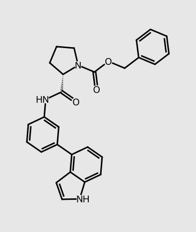 O=C(Nc1cccc(-c2cccc3[nH]ccc23)c1)[C@@H]1CCCN1C(=O)OCc1ccccc1